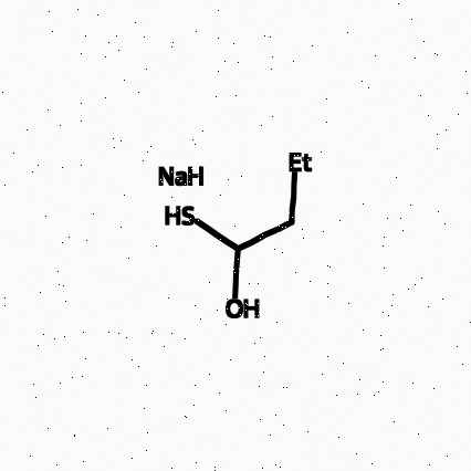 CCCC(O)S.[NaH]